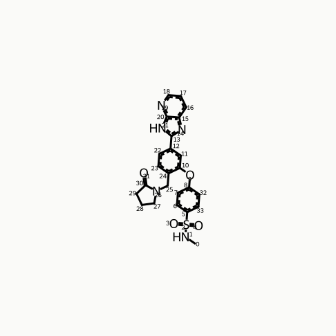 CNS(=O)(=O)c1ccc(Oc2cc(-c3nc4cccnc4[nH]3)ccc2CN2CCCC2=O)cc1